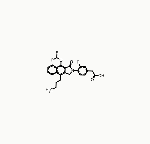 CCCCc1c2c(c(OC(F)F)c3ccccc13)C(=O)N(c1ccc(CC(=O)O)cc1F)C2